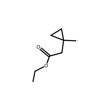 [CH2]C1(CC(=O)OCC)CC1